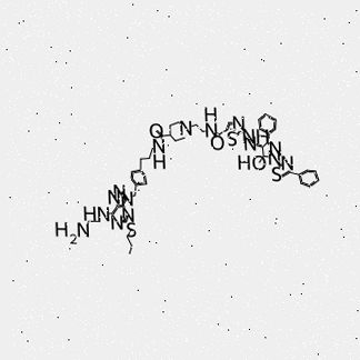 CCCSc1nc(NCCN)c2nnn(Cc3ccc(CCCNC(=O)C4CCN(CCNC(=O)c5cnc(N/N=C6\C(c7ccccc7)=NN(c7nc(-c8ccccc8)cs7)C6O)s5)CC4)cc3)c2n1